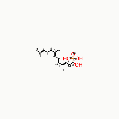 CC(C)=CCCC(C)=CCCC(C)=CCC(O)P(=O)(O)O